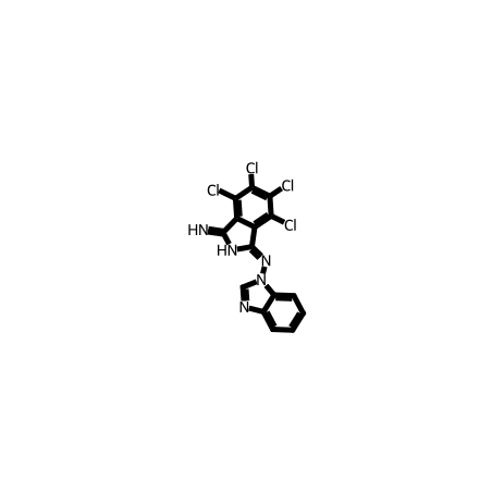 N=C1NC(=Nn2cnc3ccccc32)c2c(Cl)c(Cl)c(Cl)c(Cl)c21